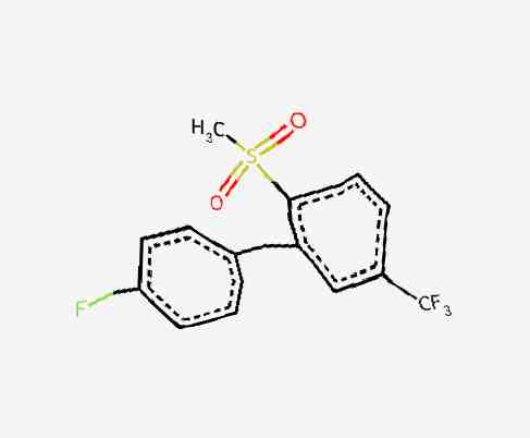 CS(=O)(=O)c1ccc(C(F)(F)F)cc1-c1ccc(F)cc1